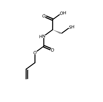 C=CCOC(=O)N[C@@H](CS)C(=O)O